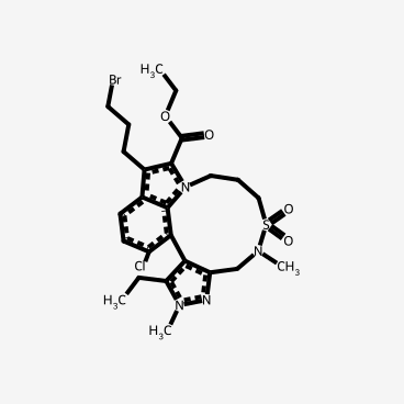 CCOC(=O)c1c(CCCBr)c2ccc(Cl)c3c2n1CCCS(=O)(=O)N(C)Cc1nn(C)c(CC)c1-3